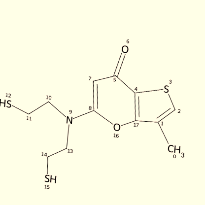 Cc1csc2c(=O)cc(N(CCS)CCS)oc12